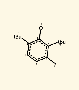 Cc1ccc(C(C)(C)C)c([O])c1C(C)(C)C